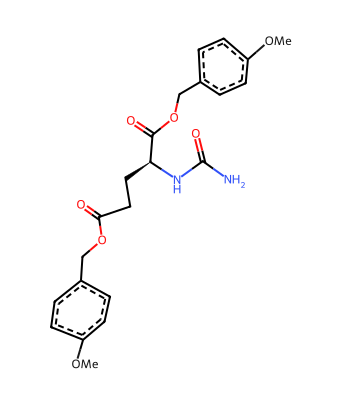 COc1ccc(COC(=O)CC[C@H](NC(N)=O)C(=O)OCc2ccc(OC)cc2)cc1